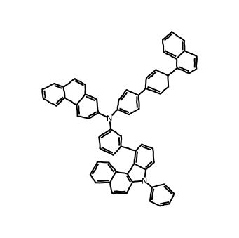 C1=CC(c2cccc3ccccc23)CC=C1c1ccc(N(c2cccc(-c3cccc4c3c3c5ccccc5ccc3n4-c3ccccc3)c2)c2ccc3c(ccc4ccccc43)c2)cc1